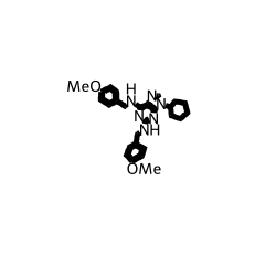 COc1ccc(CNc2nc(NCc3ccc(OC)cc3)c3ncn(C4CCCCC4)c3n2)cc1